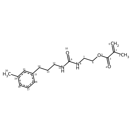 C=C(C)C(=O)OCCNC(=O)NCCCc1cccc(C)c1